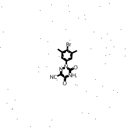 Cc1cc(-n2nc(C#N)c(=O)[nH]c2=O)cc(C)c1Br